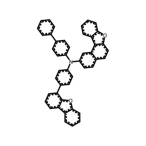 c1ccc(-c2ccc(N(c3ccc(-c4cccc5c4oc4ccccc45)cc3)c3ccc4ccc5oc6ccccc6c5c4c3)cc2)cc1